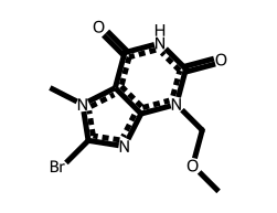 COCn1c(=O)[nH]c(=O)c2c1nc(Br)n2C